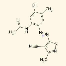 CC(=O)Nc1cc(O)c(C)cc1/N=N/c1snc(C)c1C#N